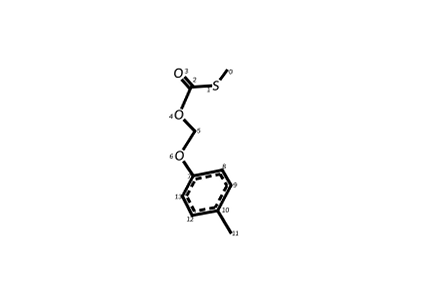 CSC(=O)OCOc1ccc(C)cc1